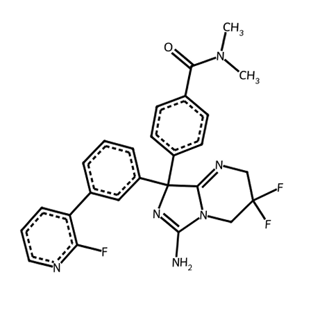 CN(C)C(=O)c1ccc(C2(c3cccc(-c4cccnc4F)c3)N=C(N)N3CC(F)(F)CN=C32)cc1